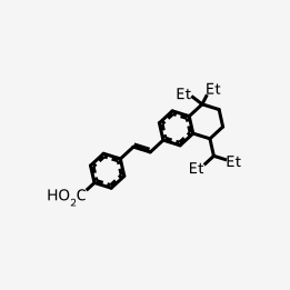 CCC(CC)C1CCC(CC)(CC)c2ccc(/C=C/c3ccc(C(=O)O)cc3)cc21